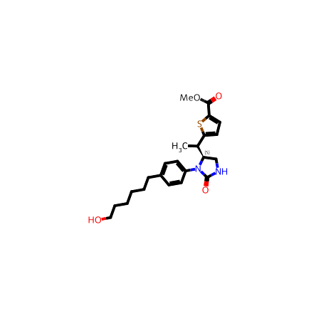 COC(=O)c1ccc(C(C)[C@H]2CNC(=O)N2c2ccc(CCCCCCO)cc2)s1